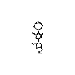 OCC1CN(c2cc(F)c(N3CCCSCCC3)c(F)c2)C(O)O1